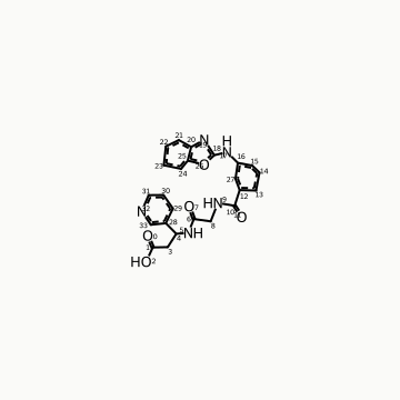 O=C(O)CC(NC(=O)CNC(=O)c1cccc(Nc2nc3ccccc3o2)c1)c1cccnc1